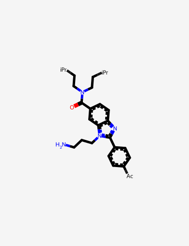 CC(=O)c1ccc(-c2nc3ccc(C(=O)N(CCC(C)C)CCC(C)C)cc3n2CCCN)cc1